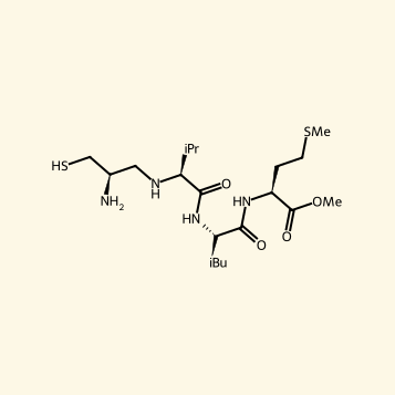 CC[C@H](C)[C@H](NC(=O)[C@@H](NC[C@@H](N)CS)C(C)C)C(=O)N[C@@H](CCSC)C(=O)OC